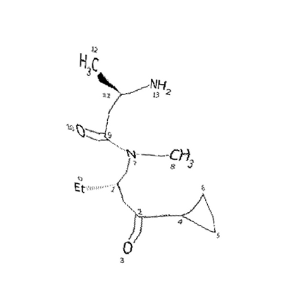 CC[C@@H](C(=O)C1CC1)N(C)C(=O)[C@@H](C)N